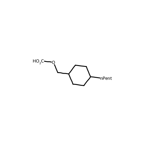 CCCCCC1CCC(COC(=O)O)CC1